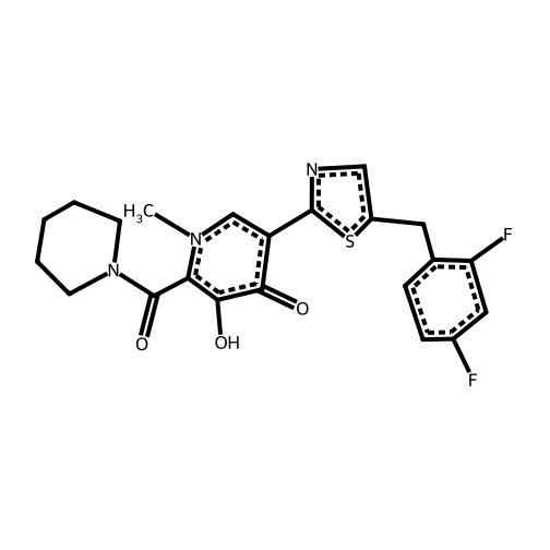 Cn1cc(-c2ncc(Cc3ccc(F)cc3F)s2)c(=O)c(O)c1C(=O)N1CCCCC1